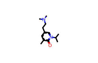 Cc1cc(CCN(C)C)cn(C(C)C)c1=O